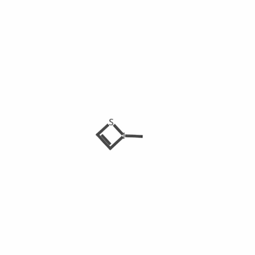 CI1C=CS1